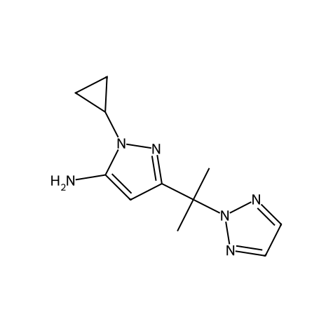 CC(C)(c1cc(N)n(C2CC2)n1)n1nccn1